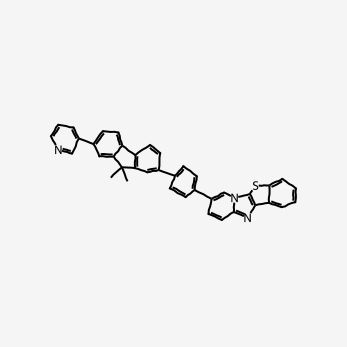 CC1(C)c2cc(-c3ccc(-c4ccc5nc6c7ccccc7sc6n5c4)cc3)ccc2-c2ccc(-c3cccnc3)cc21